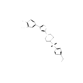 COc1ccc(-c2csc(N3CCC(S(=O)(=O)c4ccc(CBr)cc4)CC3)n2)cc1OC